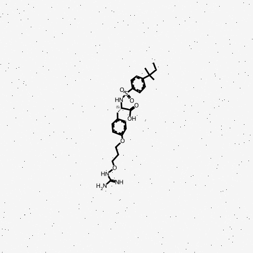 CCC(C)(C)c1ccc(S(=O)(=O)N[C@@H](Cc2ccc(OCCCONC(=N)N)cc2)C(=O)O)cc1